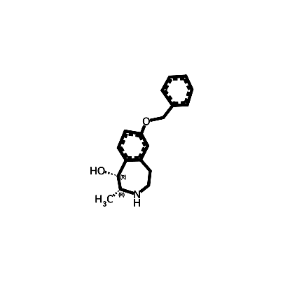 C[C@H]1NCCc2cc(OCc3ccccc3)ccc2[C@H]1O